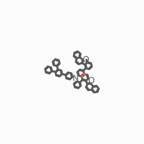 c1ccc(-c2ccc(-c3ccc(N(c4ccc(-c5cccc6oc7c8ccccc8ccc7c56)cc4)c4ccccc4-c4cccc5oc6c7ccccc7ccc6c45)cc3)cc2-c2ccccc2)cc1